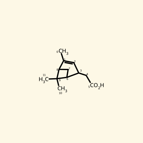 CC1=CC(CC(=O)O)C2CC1C2(C)C